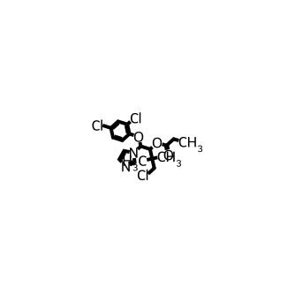 CCC(=O)OC(C(Oc1ccc(Cl)cc1Cl)n1ccnc1)C(C)(C)CCl